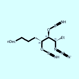 CCCCCCCCCCCCC[C@@H](OB=N)[C@@H](OB=N)[C@H](CC)N=[N+]=[N-]